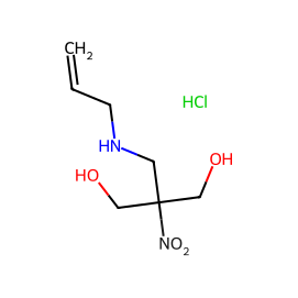 C=CCNCC(CO)(CO)[N+](=O)[O-].Cl